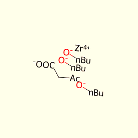 CC(=O)CC(=O)[O-].CCCC[O-].CCCC[O-].CCCC[O-].[Zr+4]